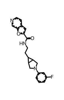 O=C(NCCC1C2CN(c3cccc(F)c3)CC12)c1cc2ccncc2o1